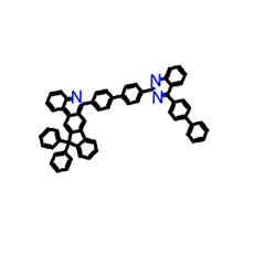 c1ccc(-c2ccc(-c3nc(-c4ccc(-c5ccc(-c6nc7ccccc7c7cc8c(cc67)-c6ccccc6C8(c6ccccc6)c6ccccc6)cc5)cc4)nc4ccccc34)cc2)cc1